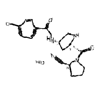 Cl.N#C[C@@H]1CCCN1C(=O)[C@@H]1C[C@H](NC(=O)c2ccc(Cl)cc2)CN1